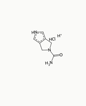 Cl.NC(=O)N1Cc2c[nH]cc2C1.[H+]